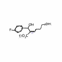 CCCCCCCCCCCCC/C=C(/C(=O)OCC)C(O)c1ccc(F)cc1